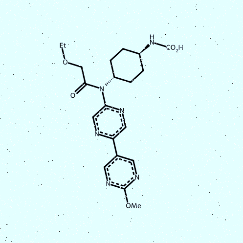 CCOCC(=O)N(c1cnc(-c2cnc(OC)nc2)cn1)[C@H]1CC[C@H](NC(=O)O)CC1